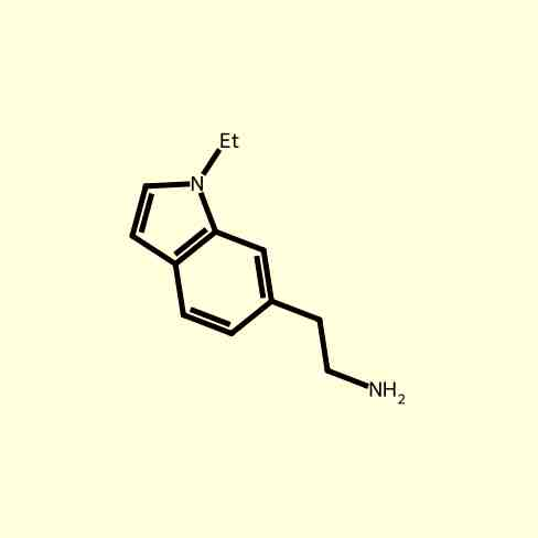 CCn1ccc2ccc(CCN)cc21